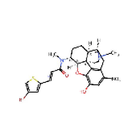 CN1CC[C@]23c4c5c([N+](=O)[O-])cc(O)c4O[C@H]2[C@H](N(C)C(=O)/C=C/c2cc(Br)cs2)CC[C@H]3[C@H]1C5